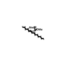 CCCCCCCCCCCCCC.CO[SiH](OC)OC